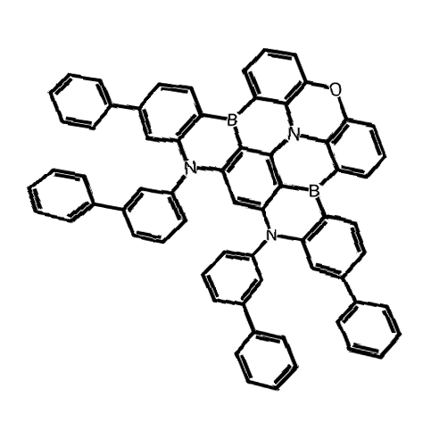 c1ccc(-c2cccc(N3c4cc(-c5ccccc5)ccc4B4c5cccc6c5N5c7c(cccc7B7c8ccc(-c9ccccc9)cc8N(c8cccc(-c9ccccc9)c8)c8cc3c4c5c87)O6)c2)cc1